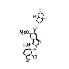 COc1cc2c(Nc3ccc(Br)c(Cl)c3F)ncnc2cc1OC[C@@H]1C[C@H]2CNC[C@H]2C1.Cl